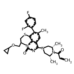 C=CC(=O)N1[C@H](C)CN(c2nc(=O)n3c4c(c(-c5ccc(F)cc5F)c(C)cc24)SCC3COC2CC2)C[C@@H]1C